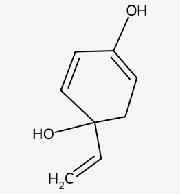 C=CC1(O)C=CC(O)=CC1